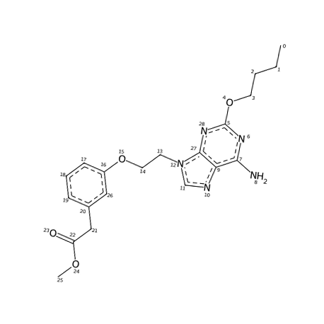 CCCCOc1nc(N)c2ncn(CCOc3cccc(CC(=O)OC)c3)c2n1